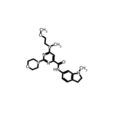 COCCN(C)c1cc(C(=O)Nc2ccc3c(c2)N(C)CC3)nc(N2CCOCC2)n1